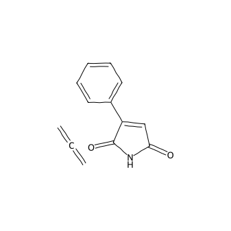 C=C=C.O=C1C=C(c2ccccc2)C(=O)N1